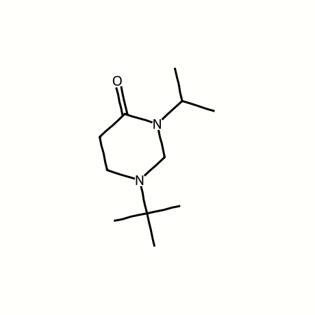 CC(C)N1CN(C(C)(C)C)CCC1=O